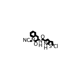 N#CCN1C(=O)C(NC(=O)c2cc3cc(Cl)sc3[nH]2)Cc2ccccc21